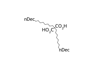 CCCCCCCCCCCCCCCCCCC(CCCCCCCCCCCCCCCCCC)(C(=O)O)C(=O)O